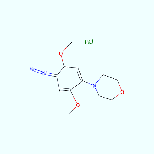 COC1=CC(=[N+]=[N-])C(OC)C=C1N1CCOCC1.Cl